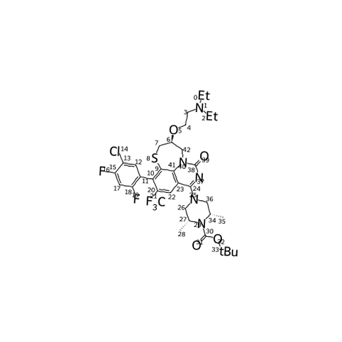 CCN(CC)CCO[C@@H]1CSc2c(-c3cc(Cl)c(F)cc3F)c(C(F)(F)F)cc3c(N4C[C@@H](C)N(C(=O)OC(C)(C)C)[C@@H](C)C4)nc(=O)n(c23)C1